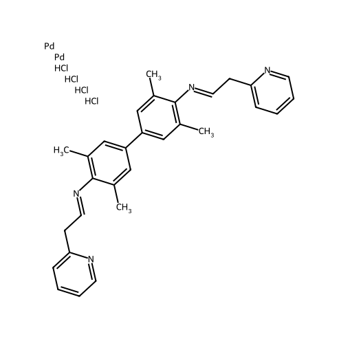 Cc1cc(-c2cc(C)c(N=CCc3ccccn3)c(C)c2)cc(C)c1N=CCc1ccccn1.Cl.Cl.Cl.Cl.[Pd].[Pd]